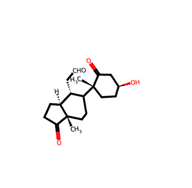 C[C@]1(C2CC[C@]3(C)C(=O)CC[C@H]3[C@@H]2CC=O)CC[C@H](O)CC1=O